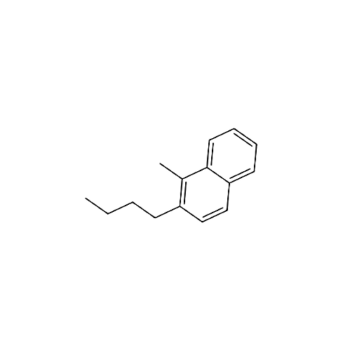 CCCCc1ccc2ccccc2c1C